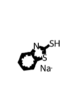 Sc1nc2ccccc2s1.[Na]